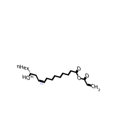 C=CC(=O)OC(=O)CCCCCCC/C=C\C[C@H](O)CCCCCC